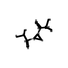 CC(C)C(=O)[C@H]1C[C@H]1C(=O)N(C)C